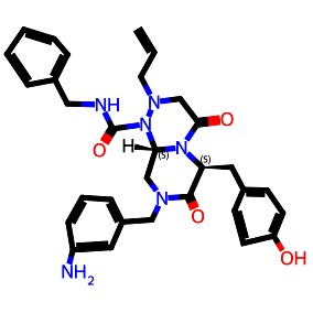 C=CCN1CC(=O)N2[C@@H](Cc3ccc(O)cc3)C(=O)N(Cc3cccc(N)c3)C[C@@H]2N1C(=O)NCc1ccccc1